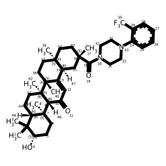 CC1(C)[C@@H](O)CC[C@]2(C)[C@H]3C(=O)C=C4[C@@H]5C[C@@](C)(C(=O)N6CCN(c7ccccc7C(F)(F)F)CC6)CC[C@]5(C)CC[C@@]4(C)[C@]3(C)CC[C@@H]12